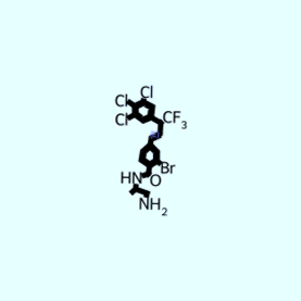 CC(CN)NC(=O)c1ccc(/C=C/C(c2cc(Cl)c(Cl)c(Cl)c2)C(F)(F)F)cc1Br